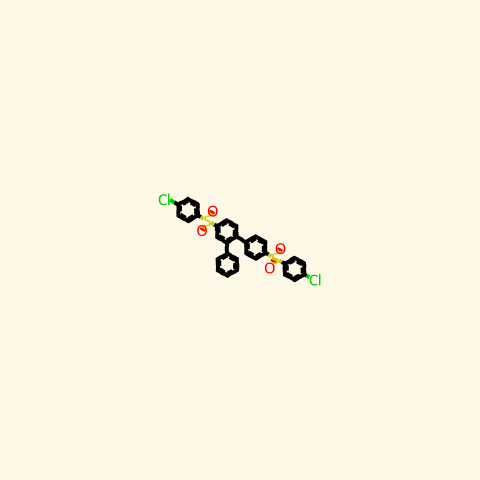 O=S(=O)(c1ccc(Cl)cc1)c1ccc(-c2ccc(S(=O)(=O)c3ccc(Cl)cc3)cc2-c2ccccc2)cc1